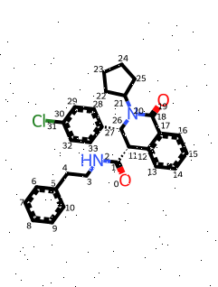 O=C(NCCc1ccccc1)[C@H]1c2ccccc2C(=O)N(C2CCCC2)[C@H]1c1ccc(Cl)cc1